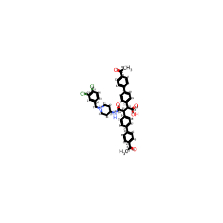 CC(=O)c1ccc(-c2ccc(C(C(=O)O)C(C(=O)NC3CCN(Cc4ccc(Cl)c(Cl)c4)CC3)c3ccc(-c4ccc(C(C)=O)cc4)cc3)cc2)cc1